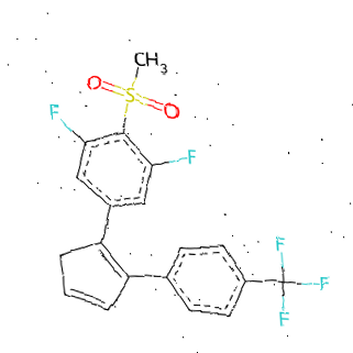 CS(=O)(=O)c1c(F)cc(C2=C(c3ccc(C(F)(F)F)cc3)C=CC2)cc1F